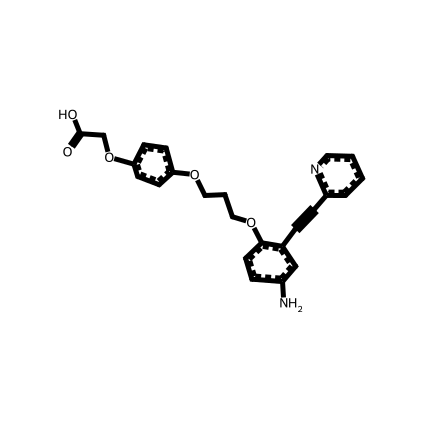 Nc1ccc(OCCCOc2ccc(OCC(=O)O)cc2)c(C#Cc2ccccn2)c1